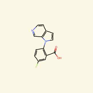 O=C(O)c1cc(F)ccc1-n1ccc2ccncc21